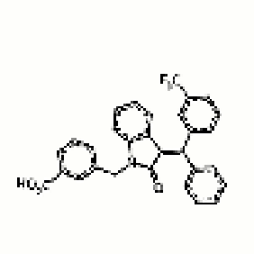 O=C(O)c1cccc(CN2C(=O)/C(=C(\c3ccccc3)c3cccc(C(F)(F)F)c3)c3ccccc32)c1